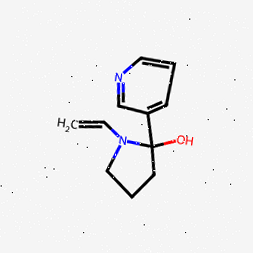 C=CN1CCCC1(O)c1cccnc1